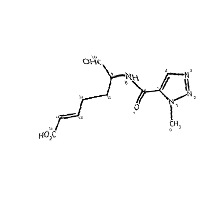 Cn1nncc1C(=O)NC(C=O)CCC=CC(=O)O